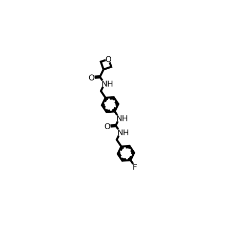 O=C(NCc1ccc(F)cc1)Nc1ccc(CNC(=O)C2COC2)cc1